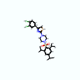 CC(C)c1cc(C(C)C)c(S(=O)(=O)N2CCN(c3nc(-c4ccc(F)c(F)c4)cs3)CC2)c(C(C)C)c1